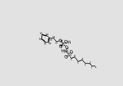 CCCCCCCCS(=O)(=O)NOP(=O)(O)OCCc1ccccc1